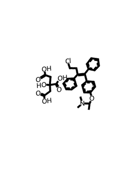 CC(Oc1ccc(C(=C(CCCl)c2ccccc2)c2ccccc2)cc1)N(C)C.O=C(O)CC(O)(CC(=O)O)C(=O)O